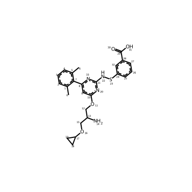 Cc1cccc(C)c1-c1cc(OCC(N)COC2CC2)nc(NSc2cccc(C(=O)O)c2)n1